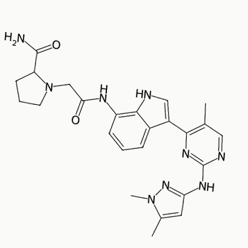 Cc1cnc(Nc2cc(C)n(C)n2)nc1-c1c[nH]c2c(NC(=O)CN3CCCC3C(N)=O)cccc12